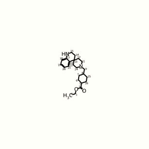 CCOC(=O)C1CCC(CN2CCC3(CCNc4ccccc43)CC2)CC1